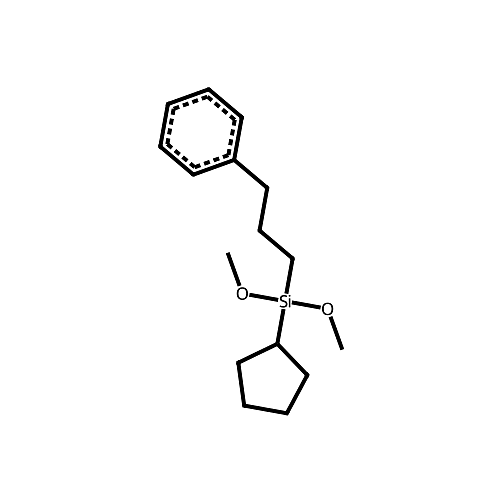 CO[Si](CCCc1ccccc1)(OC)C1CCCC1